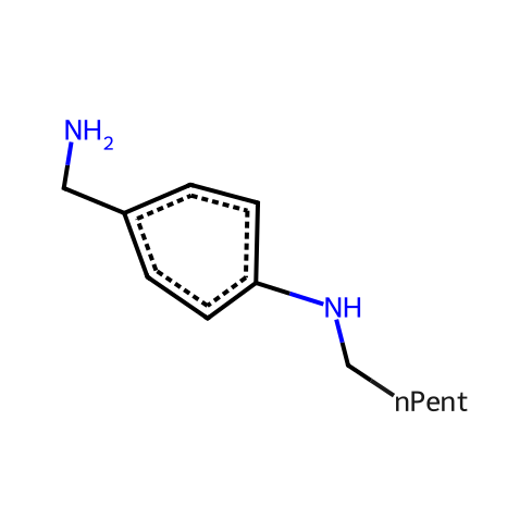 CCCCCCNc1ccc(CN)cc1